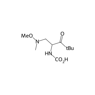 CON(C)CC(NC(=O)O)C(=O)C(C)(C)C